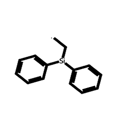 [CH2]C[Si](c1ccccc1)c1ccccc1